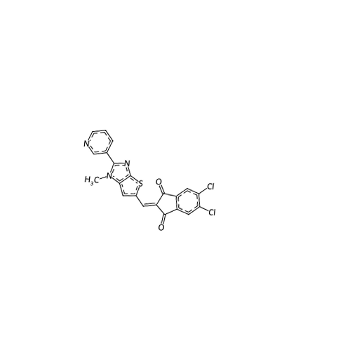 Cn1c(-c2cccnc2)nc2sc(C=C3C(=O)c4cc(Cl)c(Cl)cc4C3=O)cc21